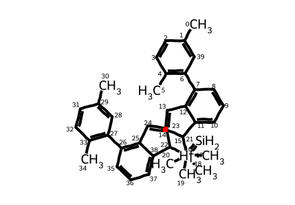 Cc1ccc(C)c(-c2cccc3c2C=C[CH]3[Hf]([CH3])([CH3])([CH3])([CH3])(=[SiH2])[CH]2C=Cc3c(-c4cc(C)ccc4C)cccc32)c1